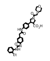 CCc1ccccc1Nc1nc2ccc(CC(=O)Nc3ccc(C4CN(C(=O)CN5CCOCC5)CC4C(=O)O)cc3)cc2o1